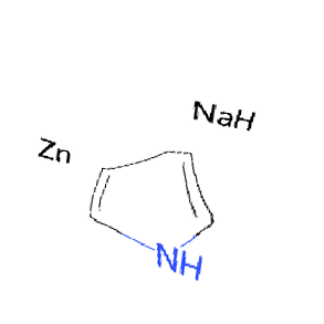 [NaH].[Zn].c1cc[nH]c1